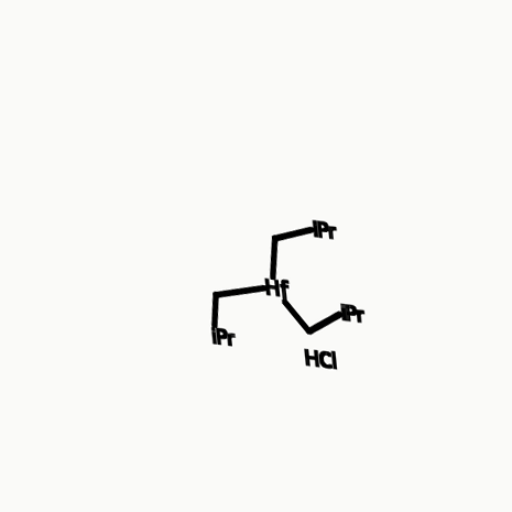 CC(C)[CH2][Hf]([CH2]C(C)C)[CH2]C(C)C.Cl